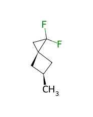 C[C@H]1C[C@]2(CC2(F)F)C1